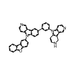 C1=Cc2c(c3cnccc3n2-c2cccc(-c3ccc4c(c3)c3cnccc3n4-c3ccc4oc5ccccc5c4c3)c2)CN1